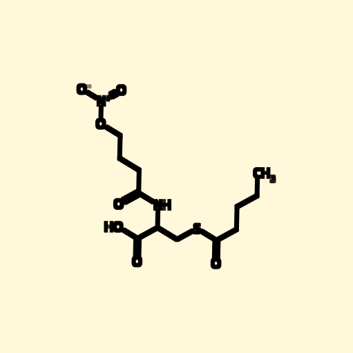 CCCCC(=O)SCC(NC(=O)CCCO[N+](=O)[O-])C(=O)O